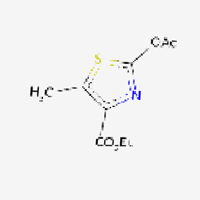 CCOC(=O)c1nc(OC(C)=O)sc1C